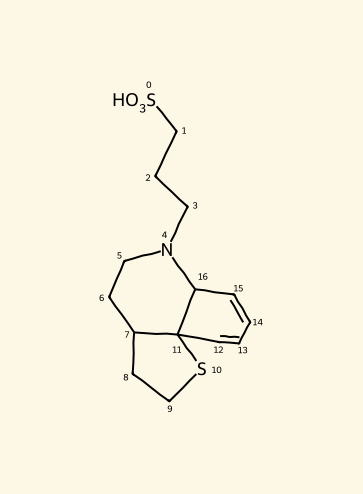 O=S(=O)(O)CCCN1CCC2CCSC23C=CC=CC13